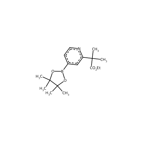 CCOC(=O)C(C)(C)c1cc(B2OC(C)(C)C(C)(C)O2)ccn1